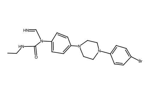 CCNC(=O)N(C=N)c1ccc(N2CCN(c3ccc(Br)cc3)CC2)cc1